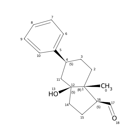 C[C@]12CC[C@H](c3ccccc3)C[C@@]1(O)CC[C@@H]2C=O